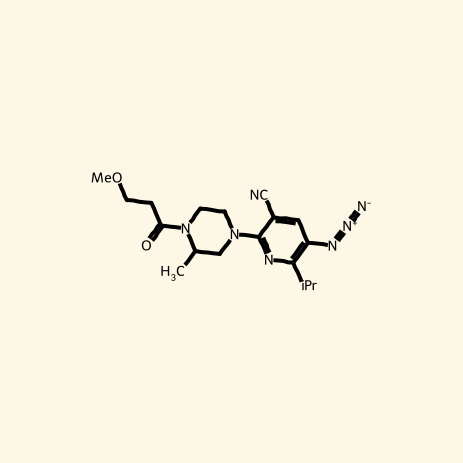 COCCC(=O)N1CCN(c2nc(C(C)C)c(N=[N+]=[N-])cc2C#N)CC1C